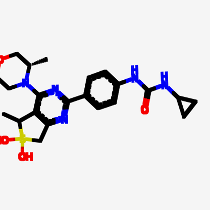 CC1c2c(nc(-c3ccc(NC(=O)NC4CC4)cc3)nc2N2CCOC[C@@H]2C)CS1(O)O